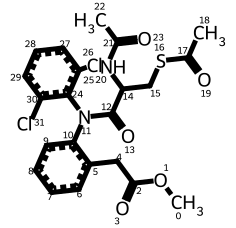 COC(=O)Cc1ccccc1N(C(=O)C(CSC(C)=O)NC(C)=O)c1c(Cl)cccc1Cl